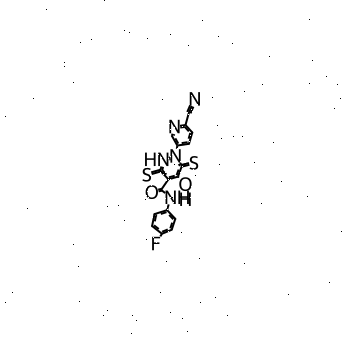 N#Cc1ccc(-n2[nH]c(=S)c(C(=O)Nc3ccc(F)cc3)c(O)c2=S)cn1